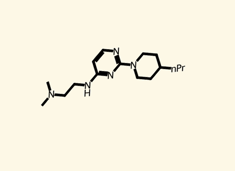 CCCC1CCN(c2nccc(NCCN(C)C)n2)CC1